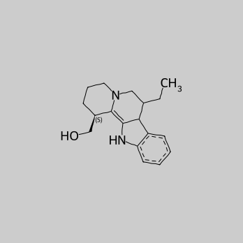 CCC1CN2CCC[C@H](CO)C2=C2Nc3ccccc3C21